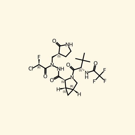 CC(C)(C)[C@H](NC(=O)C(F)(F)F)C(=O)N1C[C@@H]2C[C@@H]2[C@H]1C(=O)NN(C[C@@H]1CCNC1=O)C(=O)[C@H](F)Cl